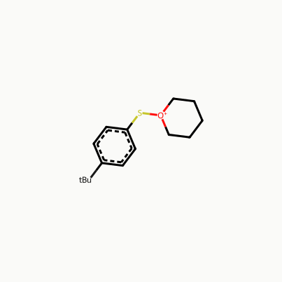 CC(C)(C)c1ccc(S[O+]2CCCCC2)cc1